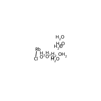 O.O.O.O.O.O.O.O.[Cl][Rb]